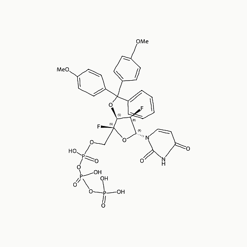 COc1ccc(C(O[C@H]2[C@@H](F)[C@H](n3ccc(=O)[nH]c3=O)O[C@]2(F)COP(=O)(O)OP(=O)(O)OP(=O)(O)O)(c2ccccc2)c2ccc(OC)cc2)cc1